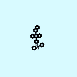 C1=Cc2c(nc(-c3ccccc3)n2-c2ccc(-c3c4ccccc4c(C4C=c5ccccc5=CC4)c4ccccc34)cc2)CC1